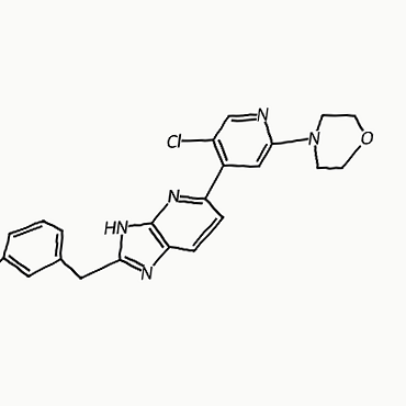 Fc1cccc(Cc2nc3ccc(-c4cc(N5CCOCC5)ncc4Cl)nc3[nH]2)c1